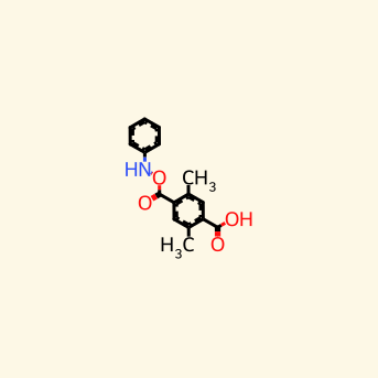 Cc1cc(C(=O)ONc2ccccc2)c(C)cc1C(=O)O